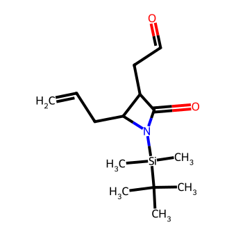 C=CCC1C(CC=O)C(=O)N1[Si](C)(C)C(C)(C)C